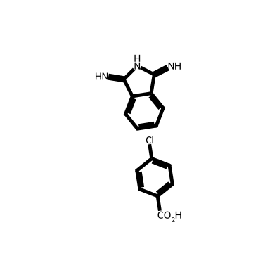 N=C1NC(=N)c2ccccc21.O=C(O)c1ccc(Cl)cc1